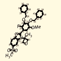 COc1cc(-c2nc3ccc(S(C)(=O)=O)cc3n2C2(C)COC2)c(F)c(OCc2ccccc2)c1OCc1ccccc1